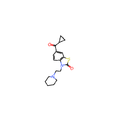 O=C(c1ccc2c(c1)sc(=O)n2CCN1CCCCC1)C1CC1